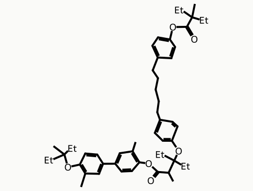 CCC(C)(CC)Oc1ccc(-c2ccc(OC(=O)C(C)C(CC)(CC)Oc3ccc(CCCCCc4ccc(OC(=O)C(C)(CC)CC)cc4)cc3)c(C)c2)cc1C